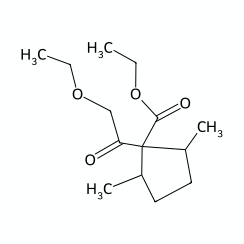 CCOCC(=O)C1(C(=O)OCC)C(C)CCC1C